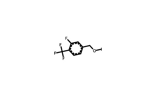 Fc1cc(COI)ccc1C(F)(F)F